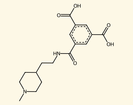 CN1CCC(CCNC(=O)c2cc(C(=O)O)cc(C(=O)O)c2)CC1